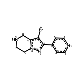 Brc1c(-c2ccncc2)nn2c1CNCC2